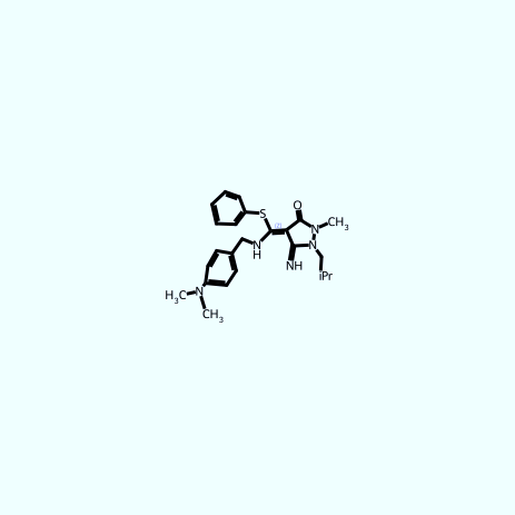 CC(C)CN1C(=N)/C(=C(\NCc2ccc(N(C)C)cc2)Sc2ccccc2)C(=O)N1C